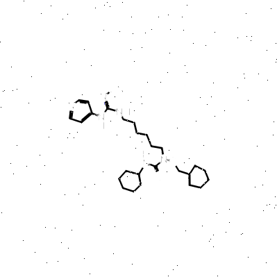 N#C/N=C(\NCCCCCCN(OCC1CCCCC1)C(=S)NC1CCCCC1)Nc1ccncc1